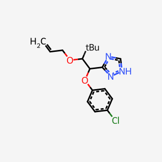 C=CCOC(C(Oc1ccc(Cl)cc1)c1nc[nH]n1)C(C)(C)C